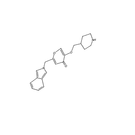 O=c1cc(Cn2cc3ccccc3c2)occ1OCC1CCNCC1